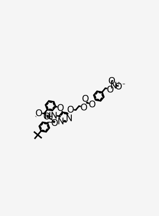 COCc1cccc(Oc2c(NS(=O)(=O)c3ccc(C(C)(C)C)cc3)ncnc2OCCOC(=O)Oc2ccc(CO[N+](=O)[O-])cc2)c1